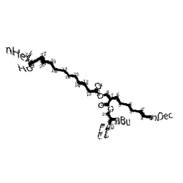 CCCCCCCCCCCCCCCCC(COC(=O)CCCCCCCCCCC(O)CCCCCC)C(=O)OCC(CC)CCCC